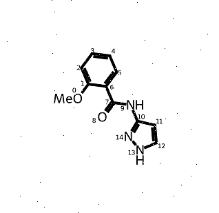 COc1ccccc1C(=O)Nc1cc[nH]n1